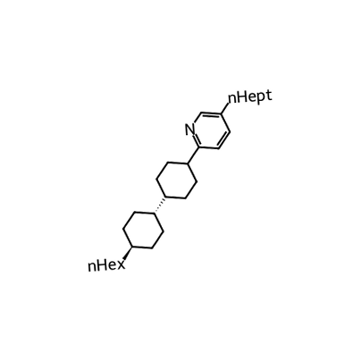 CCCCCCCc1ccc(C2CCC([C@H]3CC[C@H](CCCCCC)CC3)CC2)nc1